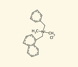 C[N+](C)(Cc1ccccc1)Cc1cccc2ccccc12.[Cl-]